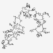 CC1OC(OC2C(C)OC(OC3C(O)CC(OC4CCC5(C)C(CCC6C5CC(O)C5(C)C(C7=CC(=O)OC7)CCC65O)C4)OC3C)OC2O)CC(O)C1O